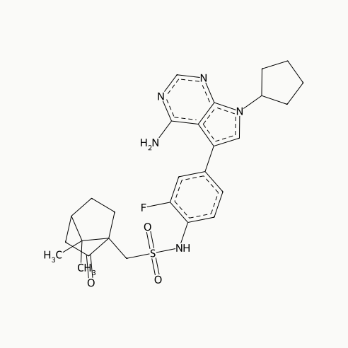 CC1(C)C2CCC1(CS(=O)(=O)Nc1ccc(-c3cn(C4CCCC4)c4ncnc(N)c34)cc1F)C(=O)C2